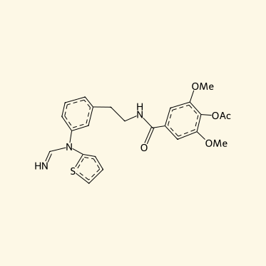 COc1cc(C(=O)NCCc2cccc(N(C=N)c3cccs3)c2)cc(OC)c1OC(C)=O